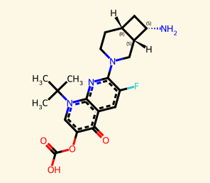 CC(C)(C)n1cc(OC(=O)O)c(=O)c2cc(F)c(N3CC[C@@H]4C[C@H](N)[C@@H]4C3)nc21